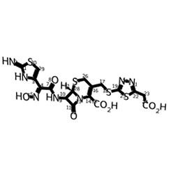 N=c1[nH]c(C(=NO)C(=O)NC2C(=O)N3C(C(=O)O)=C(CSc4nnc(CC(=O)O)s4)CS[C@@H]23)cs1